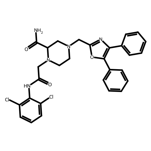 NC(=O)C1CN(Cc2nc(-c3ccccc3)c(-c3ccccc3)o2)CCN1CC(=O)Nc1c(Cl)cccc1Cl